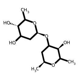 CC1O[C@@H](OC2C[C@H](C)OC(C)[C@@H]2O)CC(O)[C@@H]1O